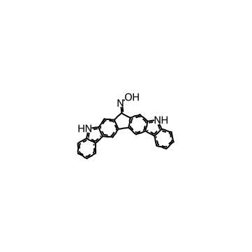 ON=C1c2cc3[nH]c4ccccc4c3cc2-c2cc3c(cc21)[nH]c1ccccc13